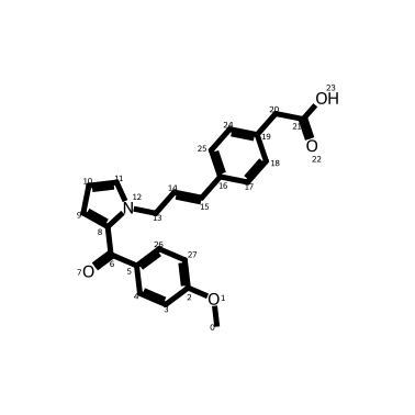 COc1ccc(C(=O)c2cccn2CC=Cc2ccc(CC(=O)O)cc2)cc1